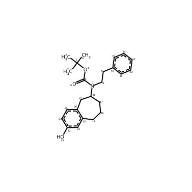 CC(C)(C)OC(=O)N(CCc1ccccc1)C1CCCc2cc(O)ccc2C1